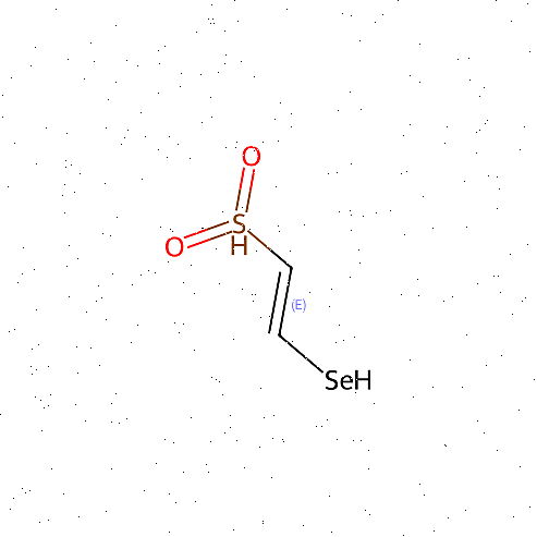 O=[SH](=O)/C=C/[SeH]